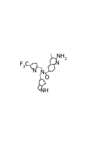 Cc1cc2cc(C(=O)N(Cc3ccc4[nH]ccc4c3)Cc3ccc(C(F)(F)F)cn3)ccc2nc1N